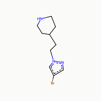 Brc1cnn(CCC2CCNCC2)c1